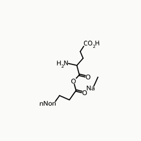 CCCCCCCCCCCC(=O)OC(=O)C(N)CCC(=O)O.[CH3][Na]